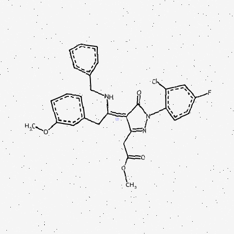 COC(=O)CC1=NN(c2ccc(F)cc2Cl)C(=O)/C1=C(/Cc1cccc(OC)c1)NCc1ccccc1